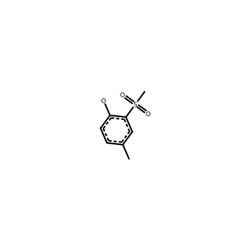 Cc1ccc([O])c(S(C)(=O)=O)c1